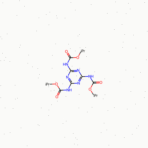 CC(C)OC(=O)Nc1nc(NC(=O)OC(C)C)nc(NC(=O)OC(C)C)n1